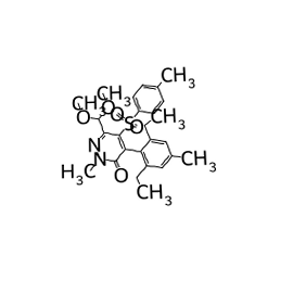 CCc1cc(C)cc(CC)c1-c1c(S(=O)(=O)c2ccc(C)cc2)c(C(OC)OC)nn(C)c1=O